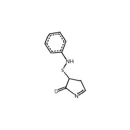 O=C1N=CCC1SNc1ccccc1